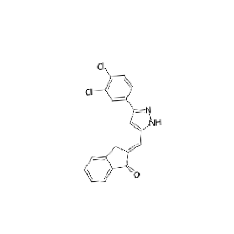 O=C1/C(=C/c2cc(-c3ccc(Cl)c(Cl)c3)n[nH]2)Cc2ccccc21